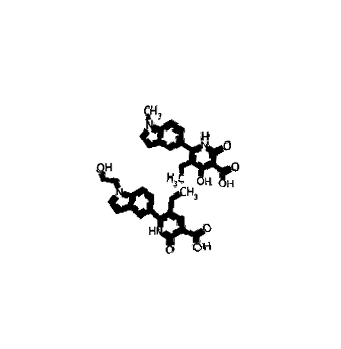 CCc1c(-c2ccc3c(ccn3C)c2)[nH]c(=O)c(C(=O)O)c1O.CCc1cc(C(=O)O)c(=O)[nH]c1-c1ccc2c(ccn2CCO)c1